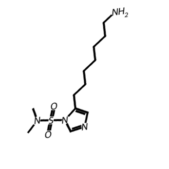 CN(C)S(=O)(=O)n1cncc1CCCCCCCN